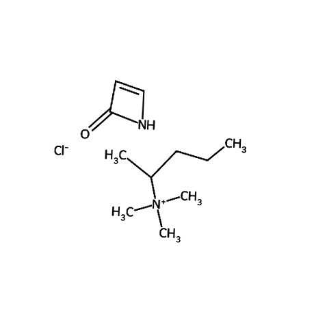 CCCC(C)[N+](C)(C)C.O=C1C=CN1.[Cl-]